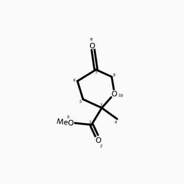 COC(=O)C1(C)CCC(=O)CO1